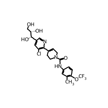 Cc1cc(NC(=O)N2CC=C(c3ncc([C@H](O)[C@@H](O)CO)cc3Cl)CC2)ccc1OC(F)(F)F